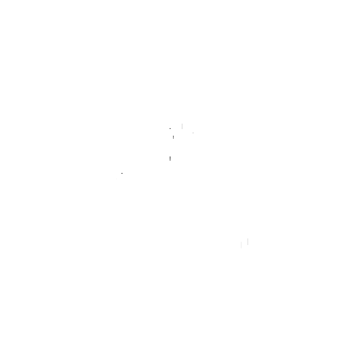 C/C=C(\C=O)C(C)C